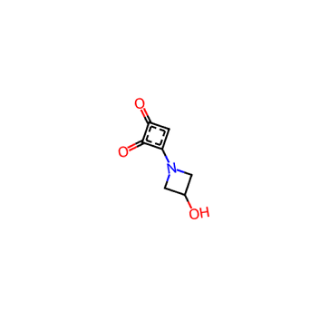 O=c1cc(N2CC(O)C2)c1=O